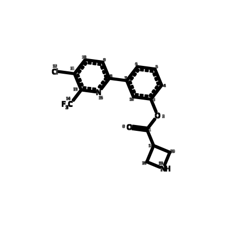 O=C(Oc1cccc(-c2ccc(Cl)c(C(F)(F)F)n2)c1)C1CNC1